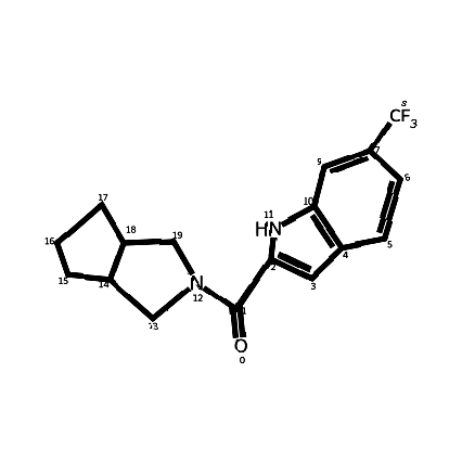 O=C(c1cc2ccc(C(F)(F)F)cc2[nH]1)N1CC2CCCC2C1